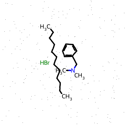 Br.CCCCCCCCCCCC.CN(C)Cc1ccccc1